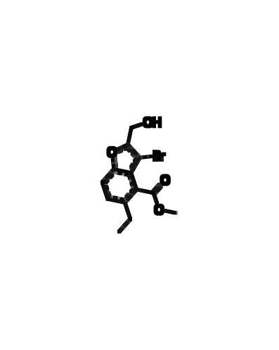 CCc1ccc2oc(CO)c(Br)c2c1C(=O)OC